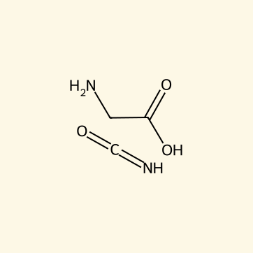 N=C=O.NCC(=O)O